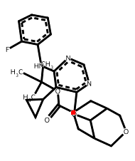 CC(C)(C)OC(=O)N1CC2COCC(C1)C2Oc1ncnc(Nc2ccccc2F)c1C1CC1